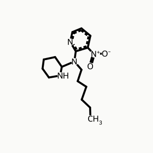 CCCCCCN(c1ncccc1[N+](=O)[O-])C1CCCCN1